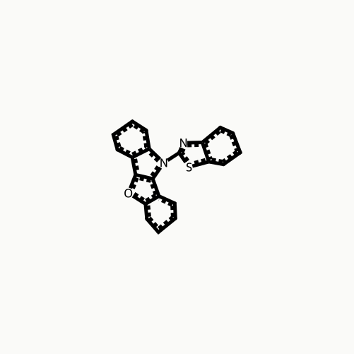 c1ccc2sc(-n3c4ccccc4c4oc5ccccc5c43)nc2c1